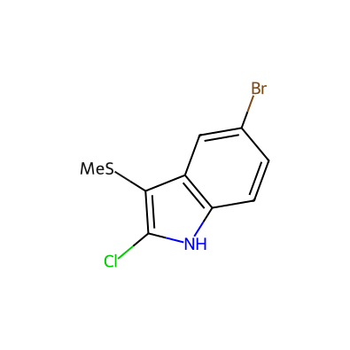 CSc1c(Cl)[nH]c2ccc(Br)cc12